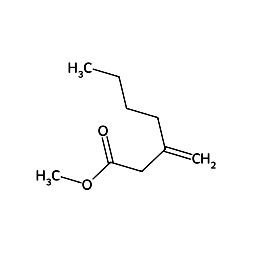 C=C(CCCC)CC(=O)OC